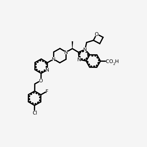 C[C@@H](c1nc2ccc(C(=O)O)cc2n1CC1CCO1)N1CCN(c2cccc(OCc3ccc(Cl)cc3F)n2)CC1